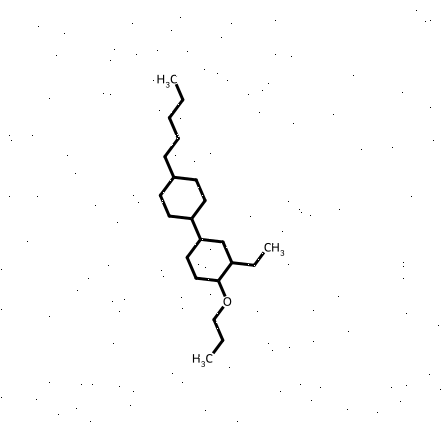 CCCCCC1CCC(C2CCC(OCCC)C(CC)C2)CC1